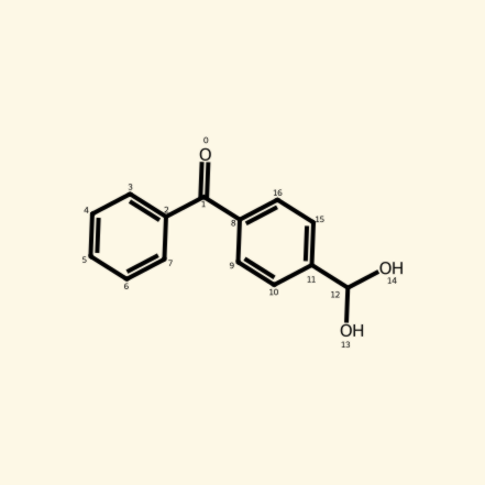 O=C(c1ccccc1)c1ccc(C(O)O)cc1